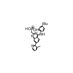 Cc1cccnc1-c1ccc2c(Nc3ccc(C(C)(C)C)cc3)nc(CP(=O)(O)O)nc2c1